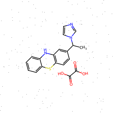 CC(c1ccc2c(c1)Nc1ccccc1S2)n1ccnc1.O=C(O)C(=O)O